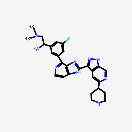 CN(C)CC(N)c1cc(F)cc(-c2nccc3[nH]c(-c4n[nH]c5cnc(C6CCNCC6)cc45)nc23)c1